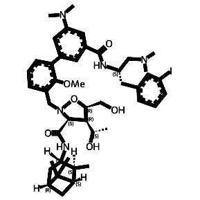 COc1c(CN2O[C@@H](CO)[C@@H]([C@H](C)O)[C@H]2C(=O)N[C@H]2C[C@H]3C[C@@H]([C@@H]2C)C3(C)C)cccc1-c1cc(C(=O)N[C@@H](Cc2cccc(I)c2)CN(C)C)cc(N(C)C)c1